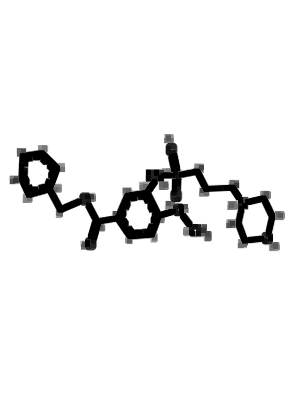 COc1ccc(C(=O)OCc2ccccc2)cc1NS(=O)(=O)CCCN1CCOCC1